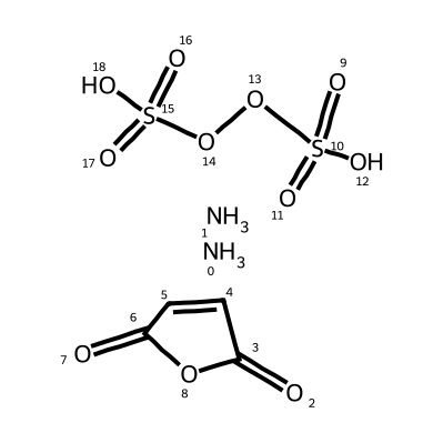 N.N.O=C1C=CC(=O)O1.O=S(=O)(O)OOS(=O)(=O)O